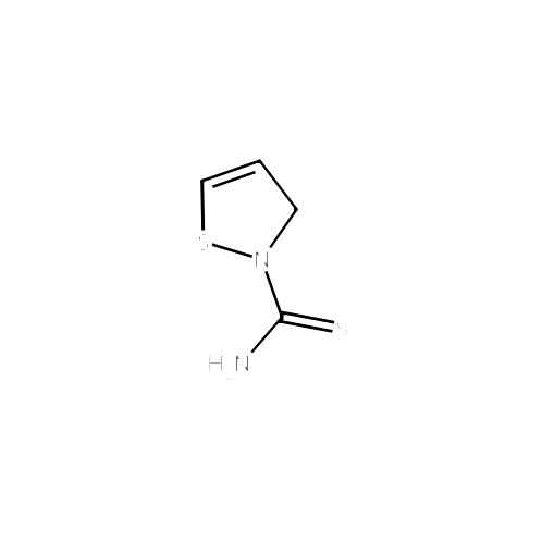 NC(=S)N1CC=[C]S1